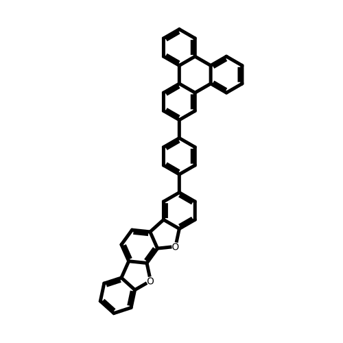 c1ccc2c(c1)oc1c2ccc2c3cc(-c4ccc(-c5ccc6c7ccccc7c7ccccc7c6c5)cc4)ccc3oc21